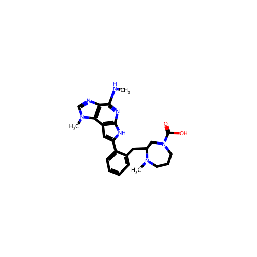 CNc1nc2[nH]c(-c3ccccc3CC3CN(C(=O)O)CCCN3C)cc2c2c1ncn2C